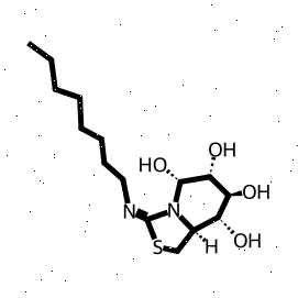 CCCCCCCC/N=C1/SC[C@@H]2[C@@H](O)[C@H](O)[C@@H](O)[C@@H](O)N12